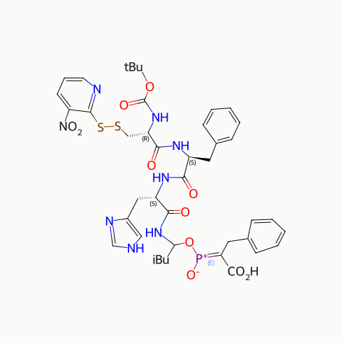 CCC(C)C(NC(=O)[C@H](Cc1c[nH]cn1)NC(=O)[C@H](Cc1ccccc1)NC(=O)[C@H](CSSc1ncccc1[N+](=O)[O-])NC(=O)OC(C)(C)C)O/[P+]([O-])=C(\Cc1ccccc1)C(=O)O